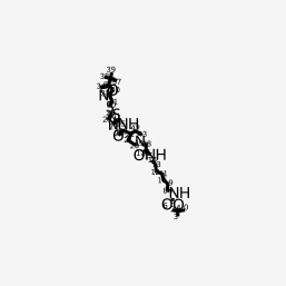 CC(C)(C)OC(=O)NCCCCCCCNC(=O)CN1CCC(C(=O)Nc2ncc(SCc3ncc(C(C)(C)C)o3)s2)CC1